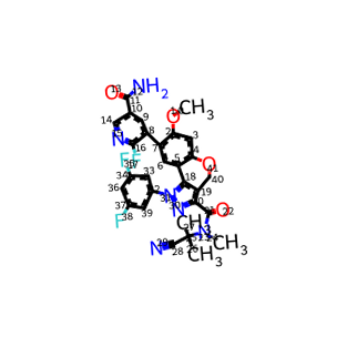 COc1cc2c(cc1-c1cc(C(N)=O)cnc1F)-c1c(c(C(=O)N(C)C(C)(C)C#N)nn1-c1cc(F)cc(F)c1)CO2